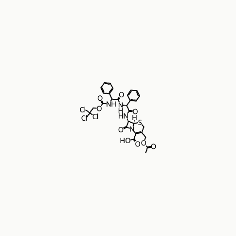 CC(=O)OCC1=C(C(=O)O)N2C(=O)[C@@H](NC(=O)[C@@H](NC(=O)C(NC(=O)OCC(Cl)(Cl)Cl)c3ccccc3)c3ccccc3)[C@H]2SC1